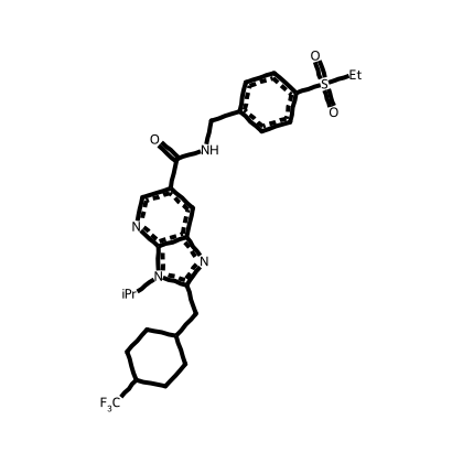 CCS(=O)(=O)c1ccc(CNC(=O)c2cnc3c(c2)nc(CC2CCC(C(F)(F)F)CC2)n3C(C)C)cc1